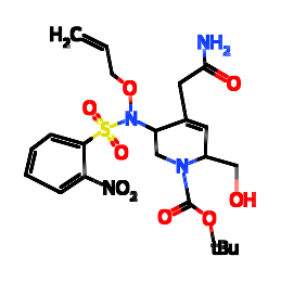 C=CCON(C1CN(C(=O)OC(C)(C)C)C(CO)C=C1CC(N)=O)S(=O)(=O)c1ccccc1[N+](=O)[O-]